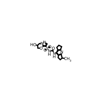 CC1CCc2c1nc1c(c2NC(=O)NS(=O)(=O)c2cnn3c2OCC(O)C3)CCC1